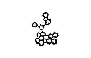 c1ccc(-c2nc(-c3cc(-c4ccc5ccccc5c4)c(-n4c5cc6ccccc6cc5c5ccc6ccccc6c54)c4ccccc34)nc(-c3cccc4c3sc3ccccc34)n2)cc1